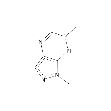 Cn1ncc2c1PP(C)C=N2